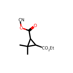 CCOC(=O)C1C(C(=O)OC#N)C1(C)C